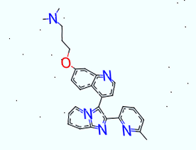 Cc1cccc(-c2nc3ccccn3c2-c2ccnc3cc(OCCCN(C)C)ccc23)n1